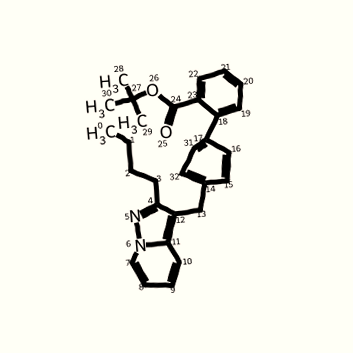 CCCCc1nn2ccccc2c1Cc1ccc(-c2ccccc2C(=O)OC(C)(C)C)cc1